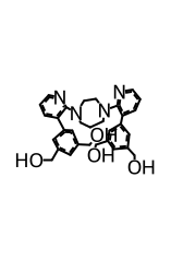 OCc1cc(CO)cc(-c2cccnc2N2CCCN(c3ncccc3-c3cc(CO)cc(CO)c3)CC2)c1